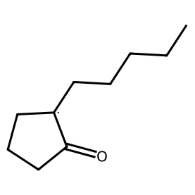 CCCCC[C]1CCCC1=O